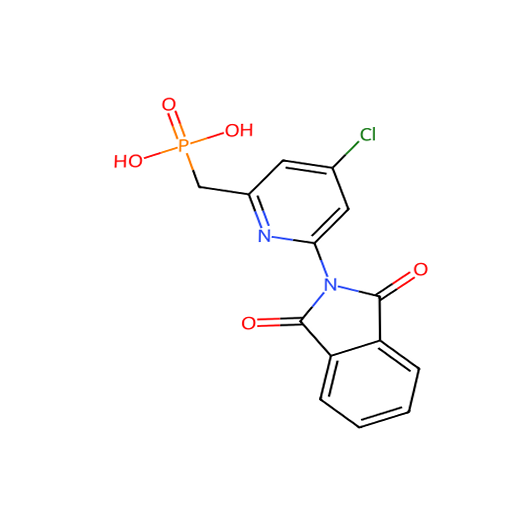 O=C1c2ccccc2C(=O)N1c1cc(Cl)cc(CP(=O)(O)O)n1